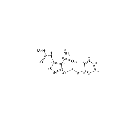 CNC(=O)Nc1snc(OCCc2cccnc2)c1C(N)=O